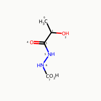 CC(O)C(=O)NNC(=O)O